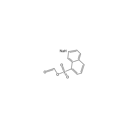 O=COS(=O)(=O)c1cccc2ccccc12.[NaH]